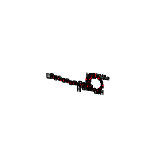 CCOCCOCCOCCOCCOCCOCCOCCNC(=O)O[C@@H]1CC[C@@H](C[C@@H](N)[C@@H]2CC(N=[N+]=[N-])[C@H](C)/C=C(\C)[C@@H](O)[C@@H](O)C(=O)C(C)CC(C)/C=C/C=C/C=C(\C)C(OC)C[C@@H]3CC[C@@H](C)[C@@](O)(O3)C(=O)C(=O)N3CCCC[C@H]3C(=O)O2)C[C@H]1OC